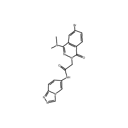 CN(C)c1nn(CC(=O)Nc2ccc3nncn3c2)c(=O)c2ccc(Br)cc12